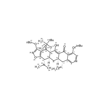 C=C[C@H]1c2cncc(OCCCC)c2C(=O)C2=C(O)[C@]3(O[Si](C)(C)C(C)(C)C)C(=O)c4c(OCCCC)noc4[C@@H](N(C)C)[C@@H]3C[C@@H]21